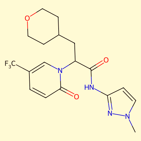 Cn1ccc(NC(=O)C(CC2CCOCC2)n2cc(C(F)(F)F)ccc2=O)n1